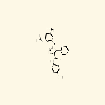 Cc1ccc(NC(=O)c2nnn(Cc3cc(C(F)(F)F)cc(C(F)(F)F)c3)c2-c2ccccc2)cc1